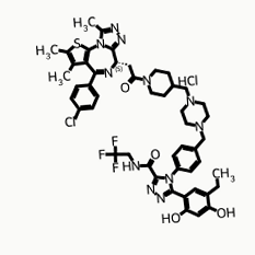 CCc1cc(-c2nnc(C(=O)NCC(F)(F)F)n2-c2ccc(CN3CCN(CC4CCN(C(=O)C[C@@H]5N=C(c6ccc(Cl)cc6)c6c(sc(C)c6C)-n6c(C)nnc65)CC4)CC3)cc2)c(O)cc1O.Cl